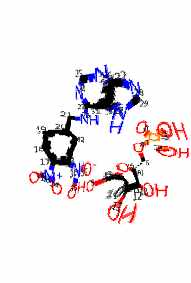 O=P(O)(O)OC[C@H]1OC(O)[C@H](O)[C@@H]1O.O=[N+]([O-])c1ccc(CNc2ncnc3nc[nH]c23)cc1[N+](=O)[O-]